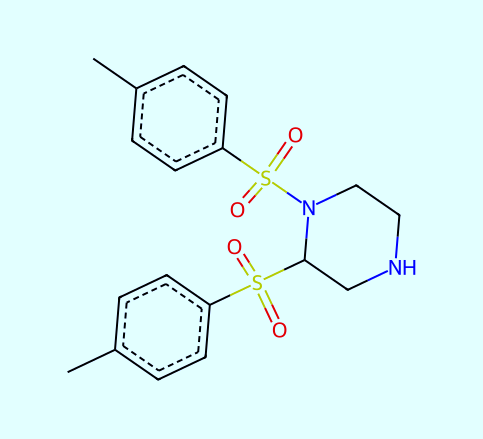 Cc1ccc(S(=O)(=O)C2CNCCN2S(=O)(=O)c2ccc(C)cc2)cc1